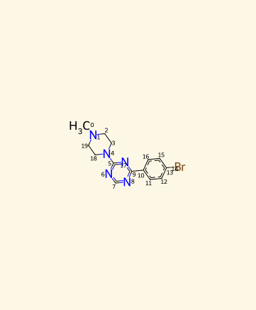 CN1CCN(c2ncnc(-c3ccc(Br)cc3)n2)CC1